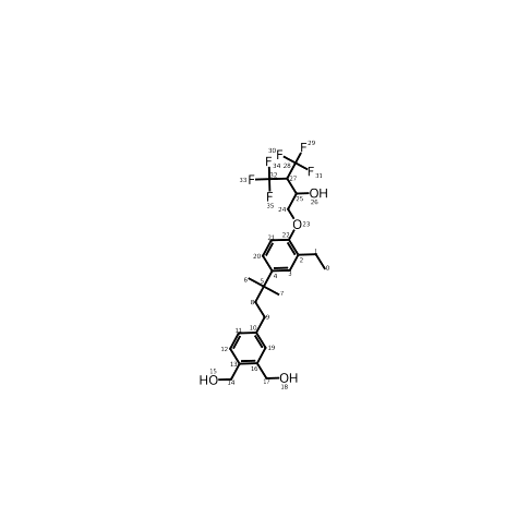 CCc1cc(C(C)(C)CCc2ccc(CO)c(CO)c2)ccc1OCC(O)C(C(F)(F)F)C(F)(F)F